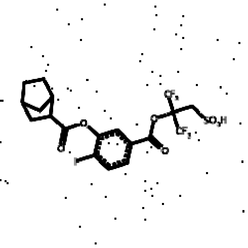 O=C(OC(CS(=O)(=O)O)(C(F)(F)F)C(F)(F)F)c1ccc(I)c(OC(=O)C2CC3CCC2C3)c1